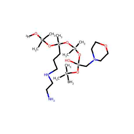 [2H]O[Si](C)(C)O[Si](C)(CCCNCCN)O[Si](C)(C)O[Si](O)(CN1CCOCC1)O[Si](B)(C)C